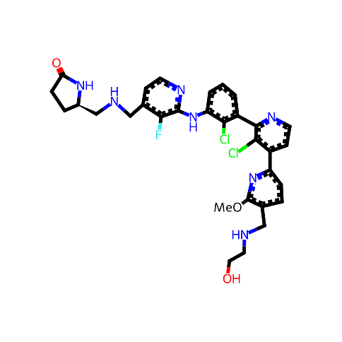 COc1nc(-c2ccnc(-c3cccc(Nc4nccc(CNC[C@H]5CCC(=O)N5)c4F)c3Cl)c2Cl)ccc1CNCCO